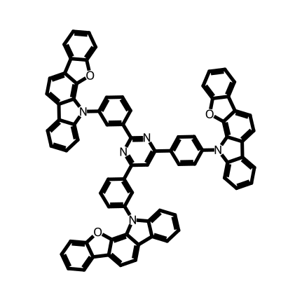 c1cc(-c2cc(-c3ccc(-n4c5ccccc5c5ccc6c7ccccc7oc6c54)cc3)nc(-c3cccc(-n4c5ccccc5c5ccc6c7ccccc7oc6c54)c3)n2)cc(-n2c3ccccc3c3ccc4c5ccccc5oc4c32)c1